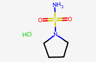 Cl.NS(=O)(=O)N1CCCC1